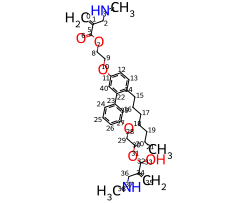 C=C(CNC)C(=O)OCCOc1ccc(CCCCCCC)c(-c2cccc(OCCOC(O)C(=C)CNC)c2)c1